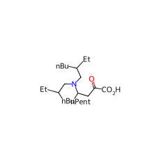 CCCCCC(CC(=O)C(=O)O)N(CC(CC)CCCC)CC(CC)CCCC